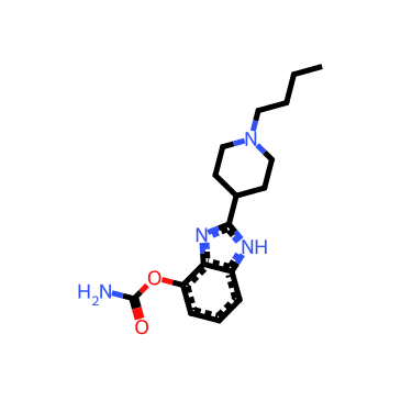 CCCCN1CCC(c2nc3c(OC(N)=O)cccc3[nH]2)CC1